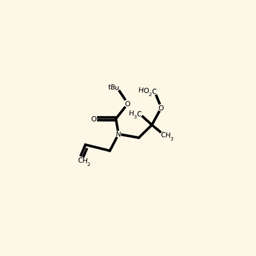 C=CCN(CC(C)(C)OC(=O)O)C(=O)OC(C)(C)C